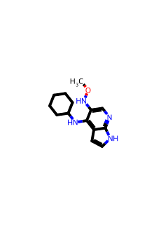 CONc1cnc2[nH]ccc2c1NC1CCCCC1